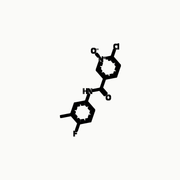 Cc1cc(NC(=O)c2ccc(Cl)[n+]([O-])c2)ccc1F